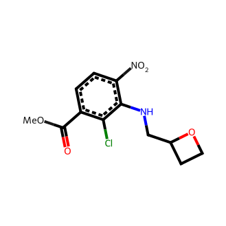 COC(=O)c1ccc([N+](=O)[O-])c(NCC2CCO2)c1Cl